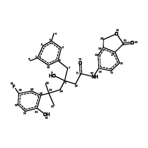 Cc1cc(C)cc(CC(O)(CC(=O)Nc2ccc3c(c2)COC3=O)CC(C)(C)c2cc(F)ccc2O)c1